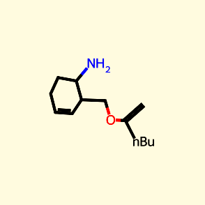 C=C(CCCC)OCC1C=CCCC1N